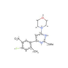 CSc1nc(-c2cc([N+](=O)[O-])c(F)cc2C)cc(N2CCOCC2)n1